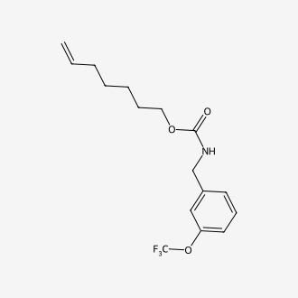 C=CCCCCCOC(=O)NCc1cccc(OC(F)(F)F)c1